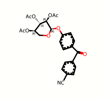 CC(=O)O[C@@H]1[C@@H](OC(C)=O)[C@@H](Oc2ccc(C(=O)c3ccc(C#N)cc3)cc2)OC[C@H]1OC(C)=O